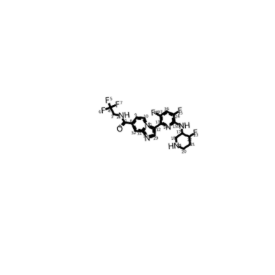 O=C(NCC(F)(F)F)c1ccn2c(-c3nc(NC4CNCCC4F)c(F)cc3F)cnc2c1